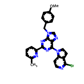 COc1ccc(Cn2cnc3c(-n4ccc5c(Br)nccc54)nc(-c4cccc(C)n4)nc32)cc1